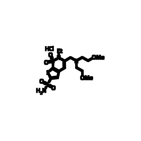 CCN1C(CN(CCOC)CCOC)=Cc2cc(S(N)(=O)=O)sc2S1(=O)=O.Cl